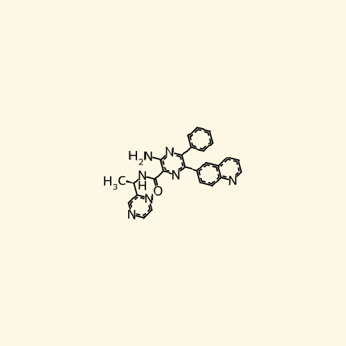 C[C@@H](NC(=O)c1nc(-c2ccc3ncccc3c2)c(-c2ccccc2)nc1N)c1cnccn1